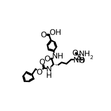 NS(=O)(=O)NCCCC[C@H](NC(=O)OCc1ccccc1)C(=O)Nc1ccc(C(=O)O)cc1